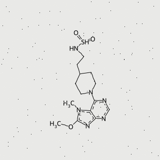 COc1nc2ncnc(N3CCC(CCN[SH](=O)=O)CC3)c2n1C